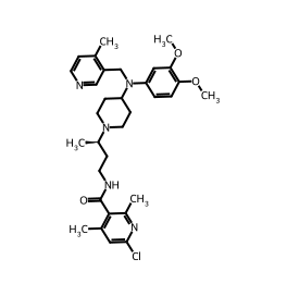 COc1ccc(N(Cc2cnccc2C)C2CCN([C@H](C)CCNC(=O)c3c(C)cc(Cl)nc3C)CC2)cc1OC